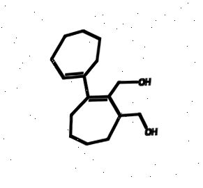 OCC1=C(C2=CCCCCC2)CCCCC1CO